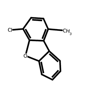 Cc1ccc(Cl)c2oc3ccccc3c12